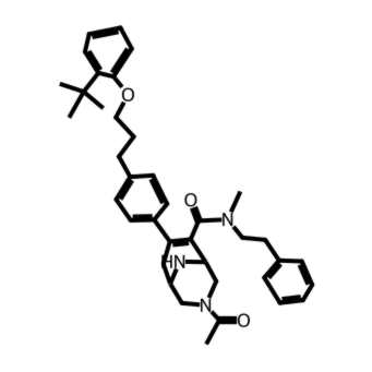 CC(=O)N1CC2CC(c3ccc(CCCOc4ccccc4C(C)(C)C)cc3)=C(C(=O)N(C)CCc3ccccc3)C(C1)N2